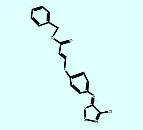 O=C(/C=C/Sc1ccc(/N=c2\ssnc2Cl)cc1)OCc1ccccc1